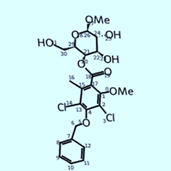 COc1c(Cl)c(OCc2ccccc2)c(Cl)c(C)c1C(=O)O[C@@H]1[C@H](O)[C@@H](O)[C@H](OC)O[C@@H]1CO